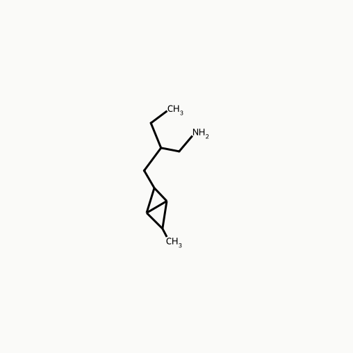 CCC(CN)CC1C2C(C)C12